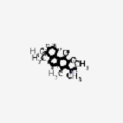 C/C=C(/C)C1=C(C)c2ccc3c(c2C(=O)C1=O)CCCC3(C)C